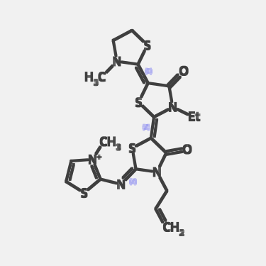 C=CCN1C(=O)/C(=c2/s/c(=C3/SCCN3C)c(=O)n2CC)S/C1=N\c1scc[n+]1C